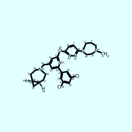 CN1CCCN(c2ccc(Oc3cc(CN4CC[C@@H]5C[C@@H]5CC4)cc(-c4cc(Cl)cc(Cl)c4)n3)nn2)CC1